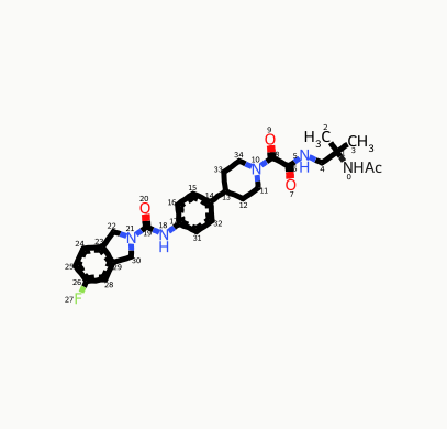 CC(=O)NC(C)(C)CNC(=O)C(=O)N1CCC(c2ccc(NC(=O)N3Cc4ccc(F)cc4C3)cc2)CC1